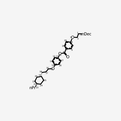 CCCCCCCCCCCCOc1ccc(C(=O)Oc2ccc(OCCC[C@H]3CC[C@H](CCC)CC3)cc2)cc1